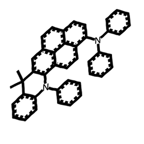 CC1(C)c2ccccc2N(c2ccccc2)c2c1cc1ccc3ccc(N(c4ccccc4)c4ccccc4)c4ccc2c1c34